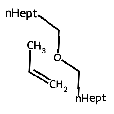 C=CC.CCCCCCCCOCCCCCCCC